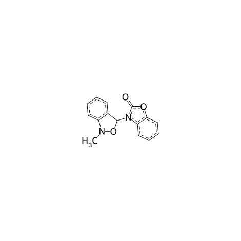 CN1OC(n2c(=O)oc3ccccc32)c2ccccc21